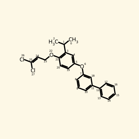 CC(C)c1cc(Oc2cccc(-c3ccccc3)c2)ccc1OCC=C(Cl)Cl